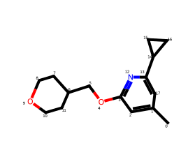 Cc1cc(OCC2CCOCC2)nc(C2CC2)c1